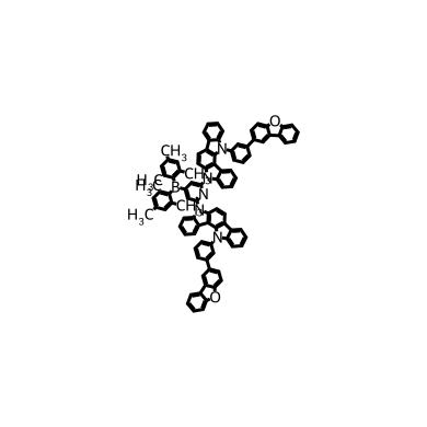 Cc1cc(C)c(B(c2cc(-n3c4ccccc4c4c3ccc3c5ccccc5n(-c5cccc(-c6ccc7oc8ccccc8c7c6)c5)c34)nc(-n3c4ccccc4c4c3ccc3c5ccccc5n(-c5cccc(-c6ccc7oc8ccccc8c7c6)c5)c34)c2)c2c(C)cc(C)cc2C)c(C)c1